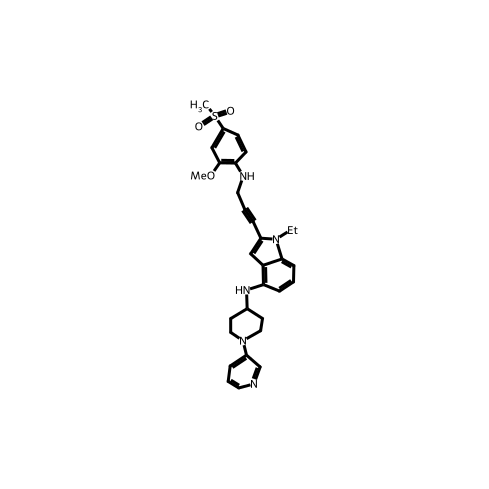 CCn1c(C#CCNc2ccc(S(C)(=O)=O)cc2OC)cc2c(NC3CCN(c4cccnc4)CC3)cccc21